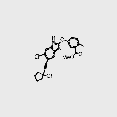 COC(=O)c1cc(Oc2nc3cc(C#CC4(O)CCCC4)c(Cl)cc3[nH]2)ccc1C